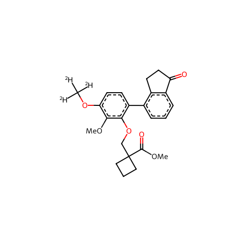 [2H]C([2H])([2H])Oc1ccc(-c2cccc3c2CCC3=O)c(OCC2(C(=O)OC)CCC2)c1OC